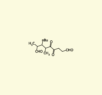 CCCCC(C(C)C=O)C(C)C(=O)C(=O)CCC=O